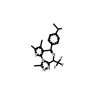 Cc1sc2c(c1C)C(c1ccc(C(C)C)cc1)=NC(C(F)(F)F)c1nnc(C)n1-2